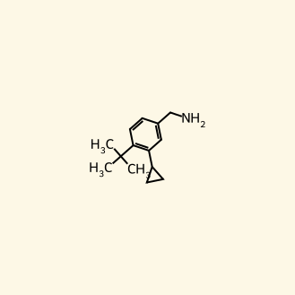 CC(C)(C)c1ccc(CN)cc1C1CC1